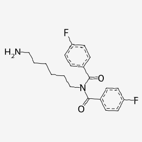 NCCCCCCN(C(=O)c1ccc(F)cc1)C(=O)c1ccc(F)cc1